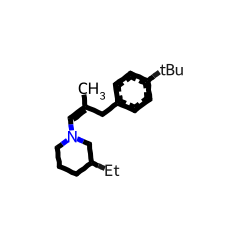 CCC1CCCN(C=C(C)Cc2ccc(C(C)(C)C)cc2)C1